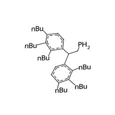 CCCCc1ccc(C(CP)c2ccc(CCCC)c(CCCC)c2CCCC)c(CCCC)c1CCCC